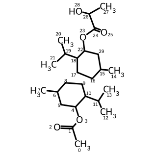 CC(=O)OC1CC(C)CCC1C(C)C.CC1CCC(C(C)C)C(OC(=O)C(C)O)C1